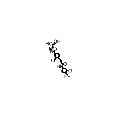 O=C(C#Cc1ccc(-c2nnc([C@@H](O)CO)o2)cc1Cl)Nc1ccc(C(F)(F)F)c(Cl)c1